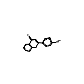 CC(C)c1ccc(C2=CC(=O)c3ccccc3C2)cc1